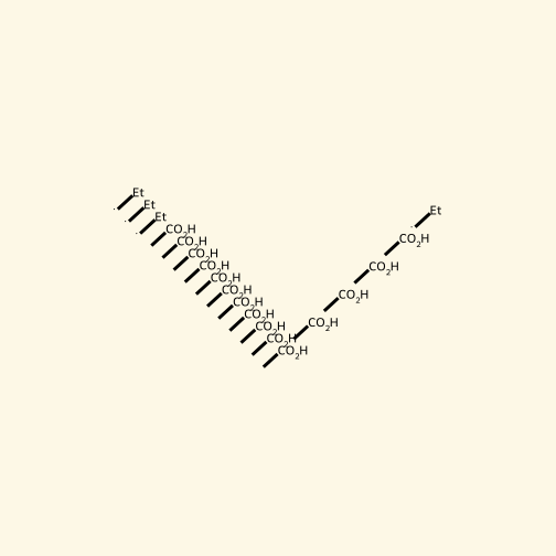 CC(=O)O.CC(=O)O.CC(=O)O.CC(=O)O.CC(=O)O.CC(=O)O.CC(=O)O.CC(=O)O.CC(=O)O.CC(=O)O.CC(=O)O.CC(=O)O.CC(=O)O.CC(=O)O.CC(=O)O.[CH2]CC.[CH2]CC.[CH2]CC.[CH2]CC